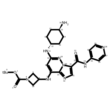 CC(C)(C)OC(=O)N1CC(Nc2cc(N[C@H]3CC[C@H](N)CC3)nn3c(C(=O)Nc4ccncc4)cnc23)C1